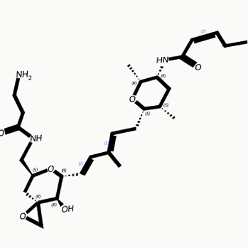 C[CH]/C=C\C(=O)N[C@@H]1C[C@H](C)[C@H](C/C=C(C)/C=C/[C@H]2O[C@H](CNC(=O)CCN)C[C@@]3(CO3)[C@@H]2O)O[C@@H]1C